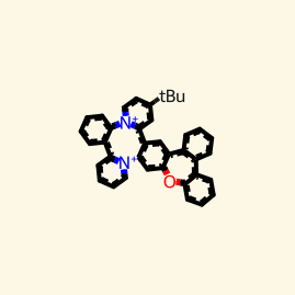 CC(C)(C)c1cc[n+]2c3ccccc3c3cccc[n+]3c3cc4oc5ccccc5c5ccccc5c4cc3c2c1